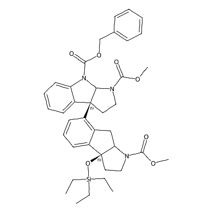 CC[Si](CC)(CC)O[C@]12CCN(C(=O)OC)C1Cc1c([C@]34CCN(C(=O)OC)C3N(C(=O)OCc3ccccc3)c3ccccc34)cccc12